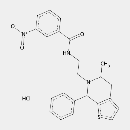 CC1Cc2ccsc2C(c2ccccc2)N1CCNC(=O)c1cccc([N+](=O)[O-])c1.Cl